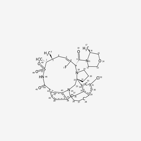 C[C@@H]1[C@@H](C)C/C=C(\F)[C@H](C(=O)N2CCOC[C@@H]2C)N2CCC[C@@]23CN2CCCCc4cc(Cl)cc3c4COc3ccc(cc32)C(=O)NS1(=O)=O